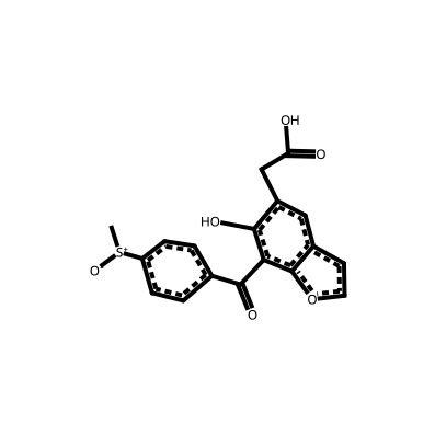 C[S+]([O-])c1ccc(C(=O)c2c(O)c(CC(=O)O)cc3ccoc23)cc1